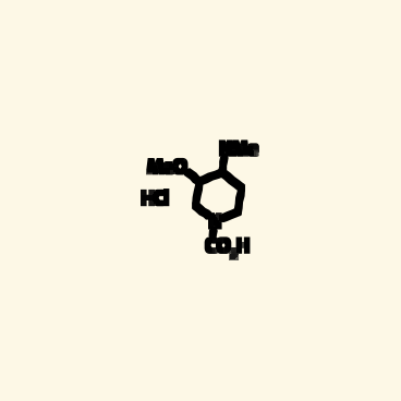 CNC1CCN(C(=O)O)CC1OC.Cl